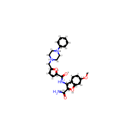 COc1ccc2c(NC(=O)c3ccc(CN4CCN(c5ccccc5)CC4)o3)c(C(N)=O)oc2c1